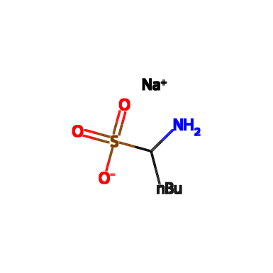 CCCCC(N)S(=O)(=O)[O-].[Na+]